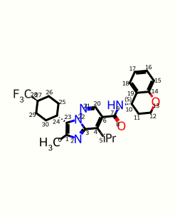 Cc1nc2c(C(C)C)c(C(=O)N[C@H]3CCOc4ccccc43)cnn2c1[C@H]1CC[C@H](C(F)(F)F)CC1